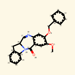 COc1cc2c(cc1OCc1ccccc1)N=CC1Cc3ccccc3N1C2=O